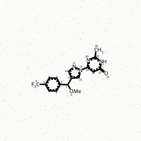 COC(c1ccc(C(F)(F)F)cc1)c1cnn(-c2cc(=O)[nH]c(C)n2)c1